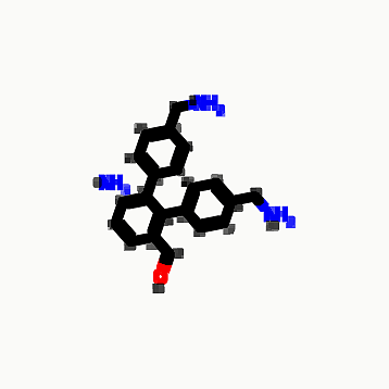 N.NCc1ccc(-c2cccc(C=O)c2-c2ccc(CN)cc2)cc1